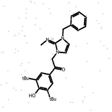 C/N=c1\n(CC(=O)c2cc(C(C)(C)C)c(O)c(C(C)(C)C)c2)ccn1Cc1ccccc1